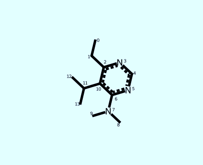 CCc1ncnc(N(C)C)c1C(C)C